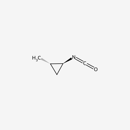 C[C@H]1C[C@@H]1N=C=O